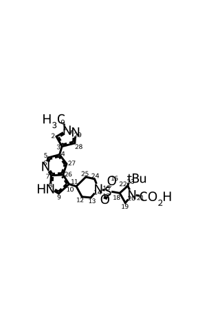 Cn1cc(-c2cnc3[nH]cc(C4CCN(S(=O)(=O)C5CN(C(=O)O)C5C(C)(C)C)CC4)c3c2)cn1